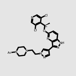 CC(=O)N1CCN(CCn2cc(-c3n[nH]c4ccc(O[C@H](C)c5c(Cl)cncc5Cl)nc34)cn2)CC1